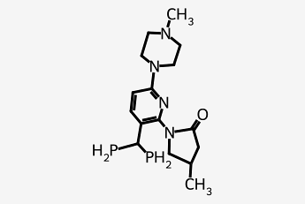 CC1CC(=O)N(c2nc(N3CCN(C)CC3)ccc2C(P)P)C1